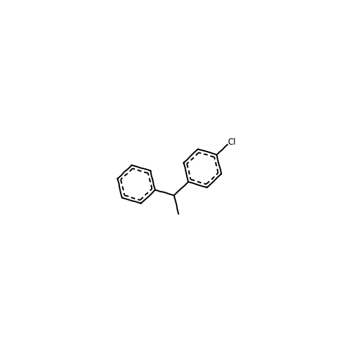 CC(c1ccccc1)c1ccc(Cl)cc1